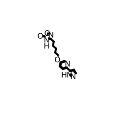 O=c1[nH]c(CCCCCOc2ccc(-c3ccn[nH]3)nc2)no1